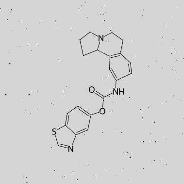 O=C(Nc1ccc2c(c1)C1CCCN1CC2)Oc1ccc2scnc2c1